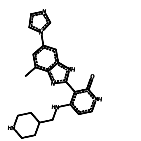 Cc1cc(-n2ccnc2)cc2[nH]c(-c3c(NCC4CCNCC4)cc[nH]c3=O)nc12